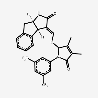 CC1=C(C)C(O/C=C2/C(=O)N[C@@H]3Cc4ccccc4[C@H]23)N(c2cc(C(F)(F)F)cc(C(F)(F)F)c2)C1=O